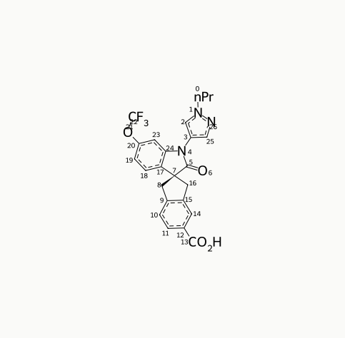 CCCn1cc(N2C(=O)[C@@]3(Cc4ccc(C(=O)O)cc4C3)c3ccc(OC(F)(F)F)cc32)cn1